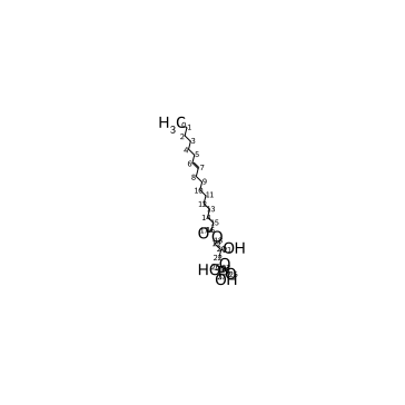 CCCCCCC=CCCCCCCCCC(=O)OCC(O)COP(=O)(O)O